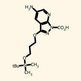 CC(C)(C)[Si](C)(C)OCCCOc1nn(C(=O)O)c2ncc(N)cc12